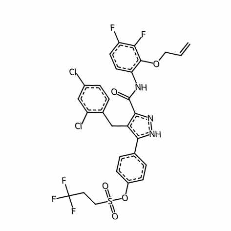 C=CCOc1c(NC(=O)c2n[nH]c(-c3ccc(OS(=O)(=O)CCC(F)(F)F)cc3)c2Cc2ccc(Cl)cc2Cl)ccc(F)c1F